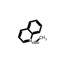 CCCCC.c1ccc2ncccc2c1